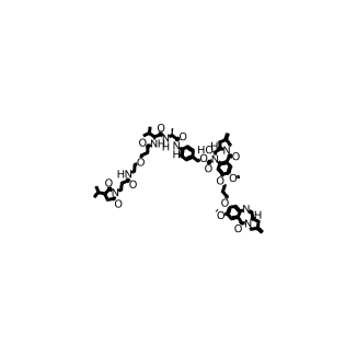 C=C1C[C@H]2C=Nc3cc(OCCCOc4cc5c(cc4OC)C(=O)N4CC(=C)C[C@H]4[C@H](O)N5C(=O)OCc4ccc(NC(=O)[C@H](C)NC(=O)[C@@H](NC(=O)CCOCCNC(=O)CCN5C(=O)CC(C(C)C)C5=O)C(C)C)cc4)c(OC)cc3C(=O)N2C1